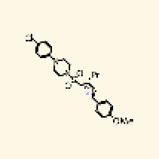 COc1ccc(/C=N/[C@H](CS(=O)(=O)N2CCN(c3ccc(Cl)cc3)CC2)C(C)C)cc1